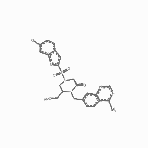 COCC1CN(S(=O)(=O)c2cc3ccc(Cl)cc3s2)CC(=O)N1Cc1ccc2c(N)ncnc2c1